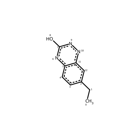 CCc1ccc2nc(O)nnc2c1